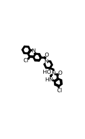 O=C(c1ccc2c(Cl)c3c(nc2c1)CCCC3)N1CCC(O)(CN2CNc3cc(Cl)ccc3C2=O)CC1